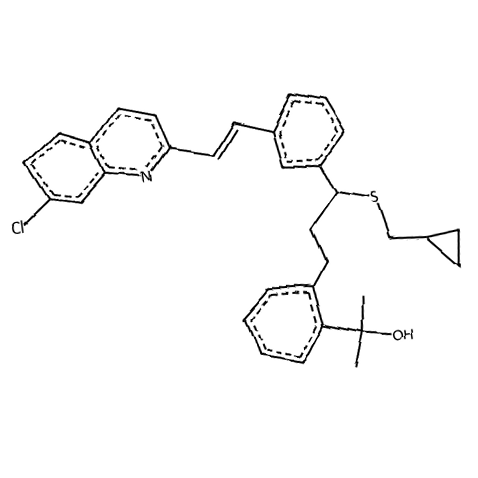 CC(C)(O)c1ccccc1CCC(SCC1CC1)c1cccc(/C=C/c2ccc3ccc(Cl)cc3n2)c1